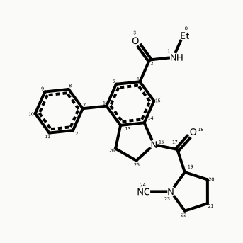 CCNC(=O)c1cc(-c2ccccc2)c2c(c1)N(C(=O)C1CCCN1C#N)CC2